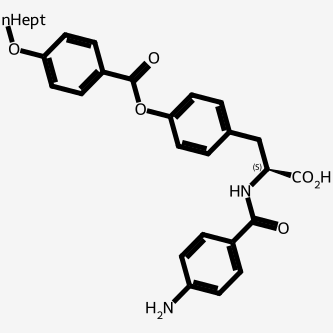 CCCCCCCOc1ccc(C(=O)Oc2ccc(C[C@H](NC(=O)c3ccc(N)cc3)C(=O)O)cc2)cc1